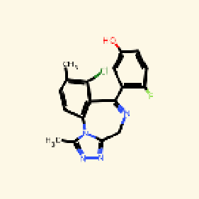 Cc1ccc2c(c1Cl)C(c1cc(O)ccc1F)=NCc1nnc(C)n1-2